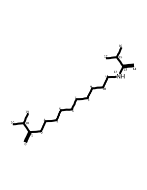 C=C(CCCCCCCCCCNC(=C)C(C)C)C(C)C